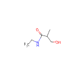 CC(CO)C(=O)NCC(F)(F)F